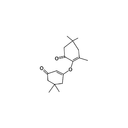 CC1=C(OC2=CC(=O)CC(C)(C)C2)C(=O)CC(C)(C)C1